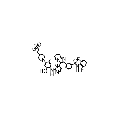 Cc1cc(Nc2nccc(-c3c(-c4cccc(C(=O)Nc5c(F)cccc5F)c4)nc4ccccn34)n2)c(O)cc1N1CCC(CCS(C)(=O)=O)CC1